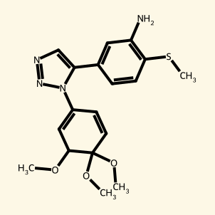 COC1C=C(n2nncc2-c2ccc(SC)c(N)c2)C=CC1(OC)OC